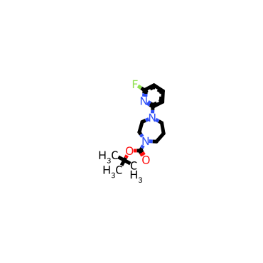 CC(C)(C)OC(=O)N1CCCN(c2cccc(F)n2)CC1